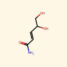 NC(=O)C=CC(O)CO